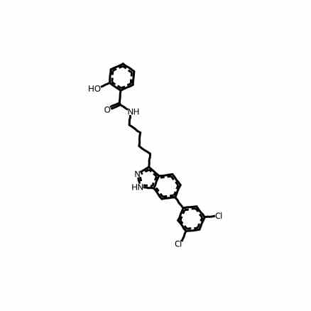 O=C(NCCCCc1n[nH]c2cc(-c3cc(Cl)cc(Cl)c3)ccc12)c1ccccc1O